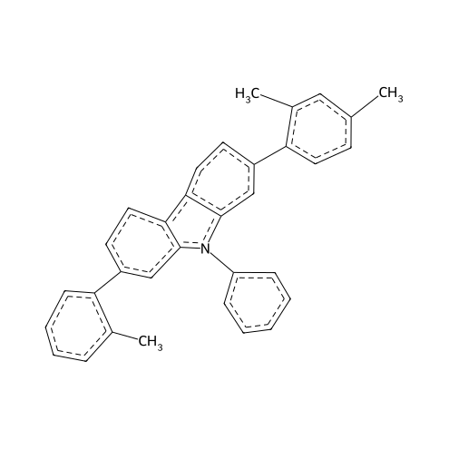 Cc1ccc(-c2ccc3c4ccc(-c5ccccc5C)cc4n(-c4ccccc4)c3c2)c(C)c1